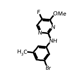 COc1nc(Nc2cc(C)cc(Br)c2)ncc1F